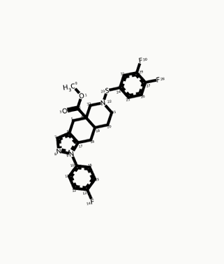 COC(=O)C12Cc3cnn(-c4ccc(F)cc4)c3CC1CCN(Sc1ccc(F)c(F)c1)C2